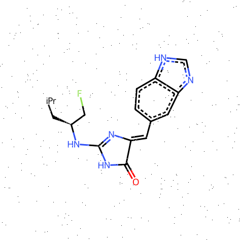 CC(C)C[C@@H](CF)NC1=N/C(=C\c2ccc3[nH]cnc3c2)C(=O)N1